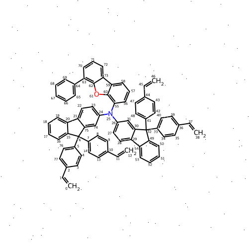 C=Cc1ccc(C2(c3ccc(C=C)cc3)c3ccccc3-c3ccc(N(c4ccc5c(c4)C(c4ccc(C=C)cc4)(c4ccc(C=C)cc4)c4ccccc4-5)c4cccc5c4oc4c(-c6ccccc6)cccc45)cc32)cc1